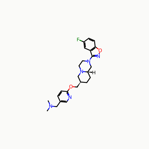 CN(C)Cc1ccc(OC[C@@H]2CC[C@H]3CN(c4noc5ccc(F)cc45)CCN3C2)nc1